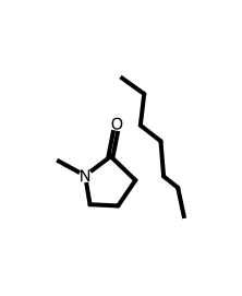 CCCCCCC.CN1CCCC1=O